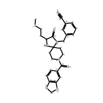 CSCCC1NC2(CCN(C(=O)c3ccc4c(c3)OCO4)CC2)N(Cc2cccc(C#N)c2)C1=O